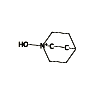 O[N+]12CCC(CC1)CC2